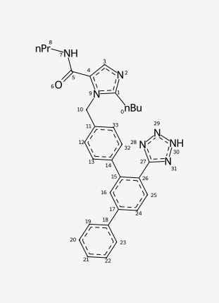 CCCCc1ncc(C(=O)NCCC)n1Cc1ccc(-c2cc(-c3ccccc3)ccc2-c2nn[nH]n2)cc1